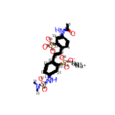 CC(=O)Nc1ccc(/C=C/c2ccc(NS(=O)(=O)N(C)C)cc2S(=O)(=O)[O-])c(S(=O)(=O)[O-])c1.[Na+].[Na+]